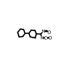 O=C=NC(N=C=O)C1CCC(C2CCCCC2)CC1